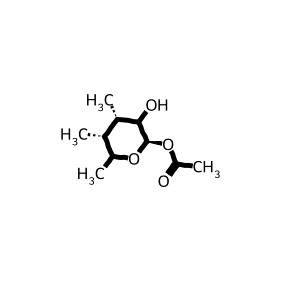 CC(=O)O[C@H]1OC(C)[C@H](C)[C@H](C)C1O